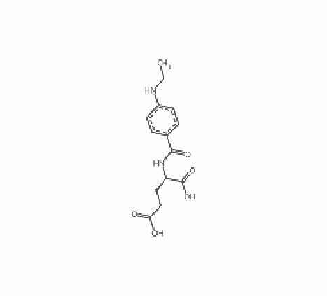 CCNc1ccc(C(=O)N[C@H](CCC(=O)O)C(=O)O)cc1